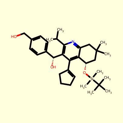 CC(C)c1nc2c(c(C3=CCCC3)c1[C@H](O)c1ccc(CO)cc1)[C@@H](O[Si](C)(C)C(C)(C)C)CC(C)(C)C2